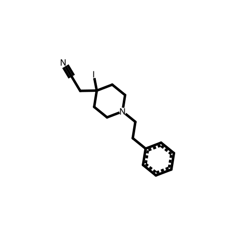 N#CCC1(I)CCN(CCc2ccccc2)CC1